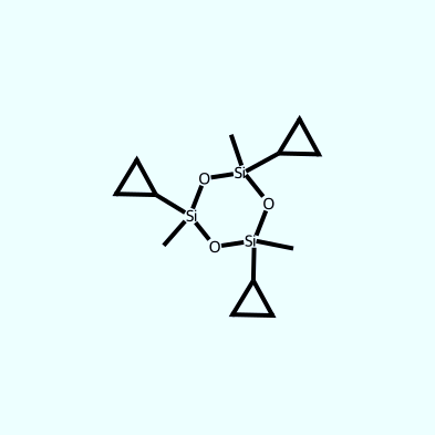 C[Si]1(C2CC2)O[Si](C)(C2CC2)O[Si](C)(C2CC2)O1